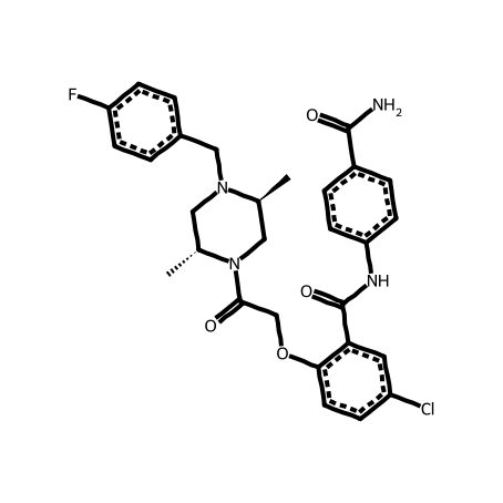 C[C@@H]1CN(Cc2ccc(F)cc2)[C@@H](C)CN1C(=O)COc1ccc(Cl)cc1C(=O)Nc1ccc(C(N)=O)cc1